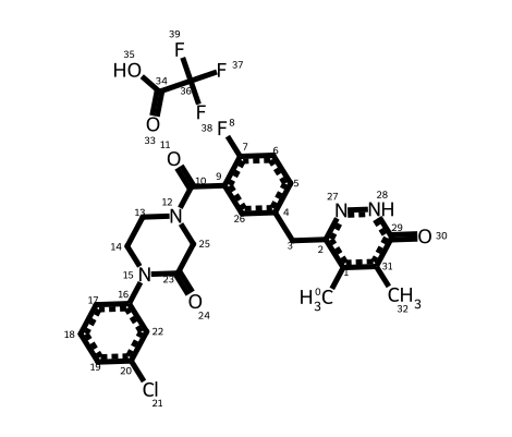 Cc1c(Cc2ccc(F)c(C(=O)N3CCN(c4cccc(Cl)c4)C(=O)C3)c2)n[nH]c(=O)c1C.O=C(O)C(F)(F)F